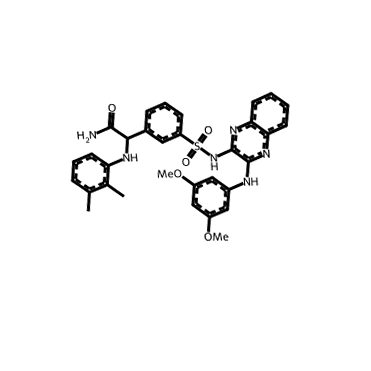 COc1cc(Nc2nc3ccccc3nc2NS(=O)(=O)c2cccc(C(Nc3cccc(C)c3C)C(N)=O)c2)cc(OC)c1